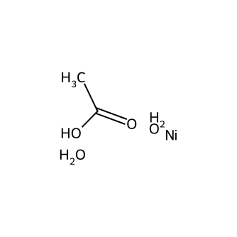 CC(=O)O.O.O.[Ni]